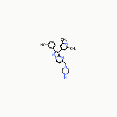 Cc1cc(-c2c(-c3cccc(C#N)c3)nn3ccc(CN4CCNCC4)nc23)cc(C)n1